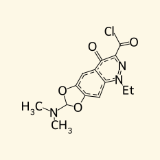 CCn1nc(C(=O)Cl)c(=O)c2cc3c(cc21)OC(N(C)C)O3